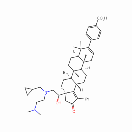 CC[C@@]12CC[C@@]3([C@@H](O)CN(CCN(C)C)CC4CC4)CC(=O)C(C(C)C)=C3[C@H]1CC[C@@H]1[C@@]3(C)CC=C(c4ccc(C(=O)O)cc4)C(C)(C)[C@@H]3CC[C@]12C